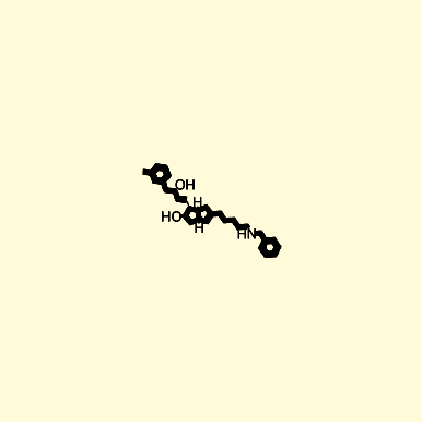 Cc1cccc(C[C@H](O)/C=C/[C@@H]2[C@H]3CC(CCCCCNCc4ccccc4)=C[C@H]3C[C@H]2O)c1